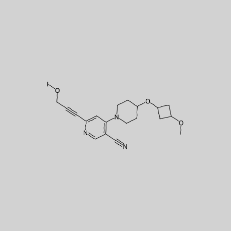 COC1CC(OC2CCN(c3cc(C#CCOI)ncc3C#N)CC2)C1